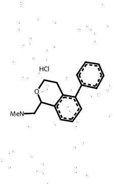 CNCC1OCCc2c(-c3ccccc3)cccc21.Cl